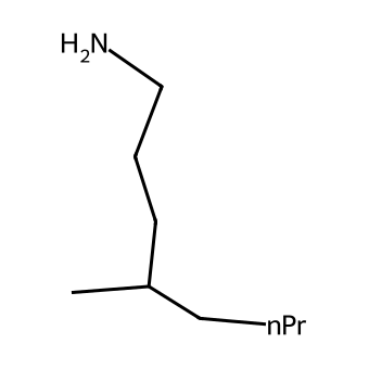 CCCCC(C)CCCN